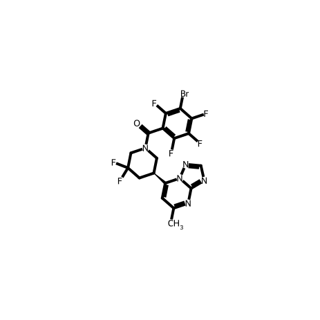 Cc1cc([C@@H]2CN(C(=O)c3c(F)c(F)c(F)c(Br)c3F)CC(F)(F)C2)n2ncnc2n1